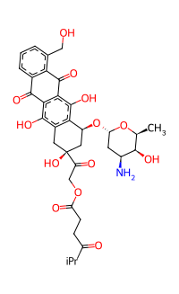 CC(C)C(=O)CCC(=O)OCC(=O)[C@]1(O)Cc2c(O)c3c(c(O)c2[C@@H](O[C@H]2C[C@H](N)[C@H](O)[C@H](C)O2)C1)C(=O)c1c(CO)cccc1C3=O